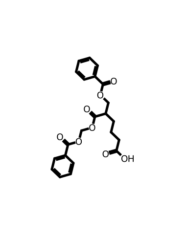 O=C(O)CCCC(COC(=O)c1ccccc1)C(=O)OCOC(=O)c1ccccc1